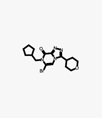 O=c1c2nnc(C3CCOCC3)n2cc(Br)n1CC1CCCC1